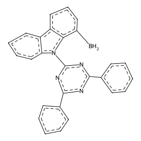 Bc1cccc2c3ccccc3n(-c3nc(-c4ccccc4)nc(-c4ccccc4)n3)c12